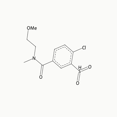 COCCN(C)C(=O)c1ccc(Cl)c([SH](=O)=O)c1